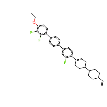 C=CC1CCC(C2CC=C(c3ccc(-c4ccc(-c5ccc(OCC)c(F)c5F)cc4)cc3F)CC2)CC1